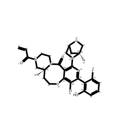 C=CC(=O)N1CCN2C(=O)c3c(N4CC5C[C@H]4CO5)nc(-c4c(O)cccc4F)c(Cl)c3OCC[C@H]2C1